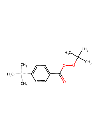 CC(C)(C)OOC(=O)c1ccc(C(C)(C)C)cc1